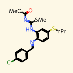 CCCSc1ccc(/N=C/c2ccc(Cl)cc2)c(N/C(=N/C(=O)OC)SC)c1